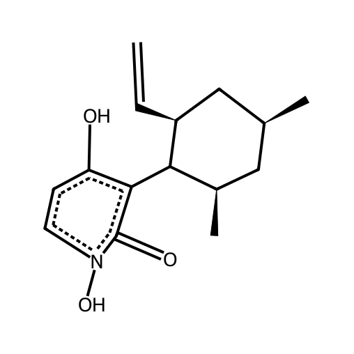 C=C[C@H]1C[C@@H](C)C[C@@H](C)C1c1c(O)ccn(O)c1=O